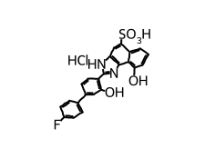 Cl.O=S(=O)(O)c1cc2[nH]c(-c3ccc(-c4ccc(F)cc4)cc3O)nc2c2c(O)cccc12